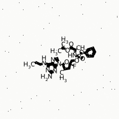 CCCNc1nc(N)nc2c1ncn2[C@@H]1O[C@](F)(COP(=O)(N[C@@H](C)C(=O)OC(C)C)Oc2ccccc2)C[C@@H]1C